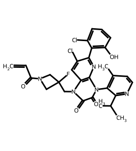 C=CC(=O)N1CC(F)(Cn2c(=O)c(=O)n(-c3c(C)ccnc3C(C)C)c3nc(-c4c(O)cccc4Cl)c(Cl)cc32)C1